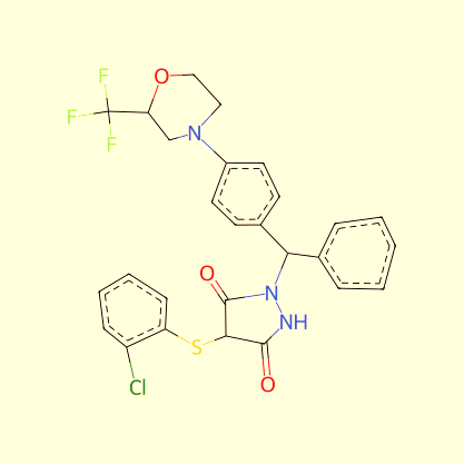 O=C1NN(C(c2ccccc2)c2ccc(N3CCOC(C(F)(F)F)C3)cc2)C(=O)C1Sc1ccccc1Cl